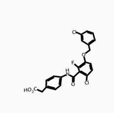 O=C(O)Cc1ccc(NC(=O)c2c(Cl)ccc(OCc3cccc(Cl)c3)c2F)cc1